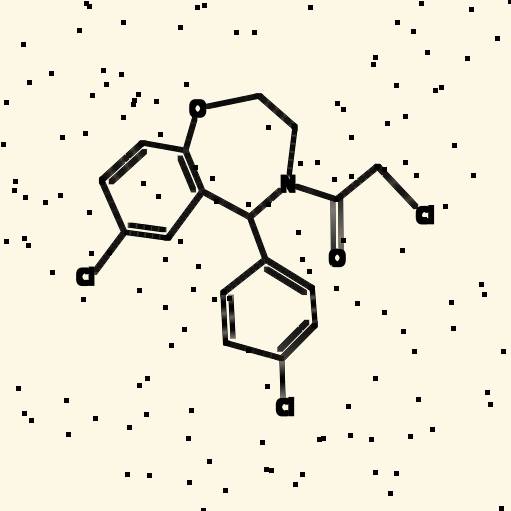 O=C(CCl)N1CCOc2ccc(Cl)cc2C1c1ccc(Cl)cc1